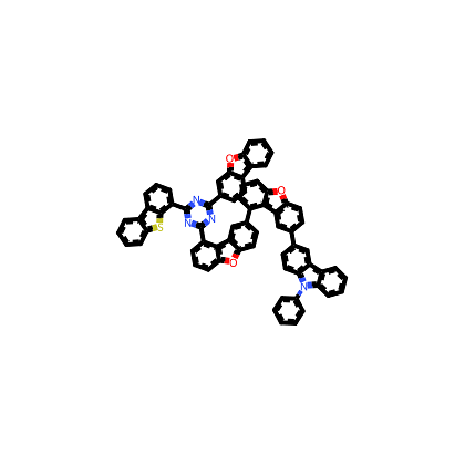 c1ccc(-n2c3ccccc3c3cc(-c4ccc5oc6cccc(-c7ccc8oc9cccc(-c%10nc(-c%11ccc%12c(c%11)oc%11ccccc%11%12)nc(-c%11cccc%12c%11sc%11ccccc%11%12)n%10)c9c8c7)c6c5c4)ccc32)cc1